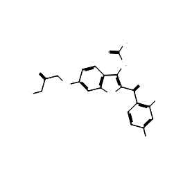 C=C(CO)COc1ccc2c(NC(N)=O)c(C(=O)c3ccc(Cl)cc3Cl)oc2c1